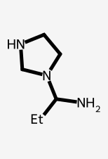 CCC(N)N1CCNC1